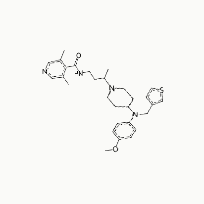 COc1ccc(N(Cc2ccsc2)C2CCN(C(C)CCNC(=O)c3c(C)cncc3C)CC2)cc1